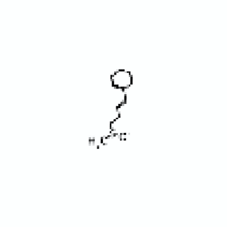 C[S+]([O-])CCC=CC1=CCCCC1